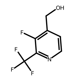 OCc1ccnc(C(F)(F)F)c1F